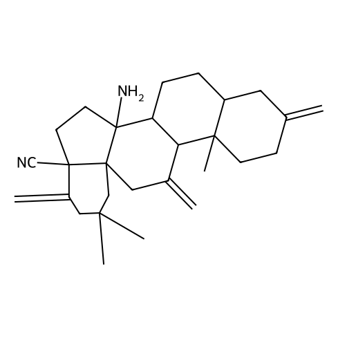 C=C1CCC2(C)C(CCC3C2C(=C)CC24CC(C)(C)CC(=C)C2(C#N)CCC34N)C1